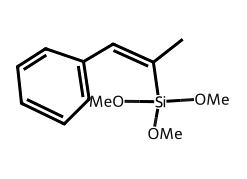 CO[Si](OC)(OC)C(C)=Cc1ccccc1